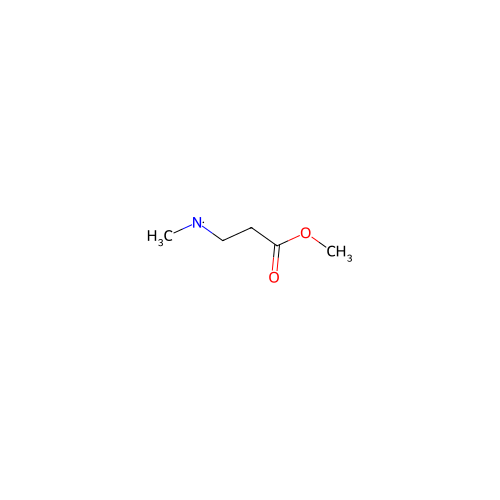 C[N]CCC(=O)OC